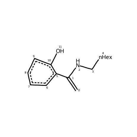 C=C(NCCCCCCC)c1ccccc1O